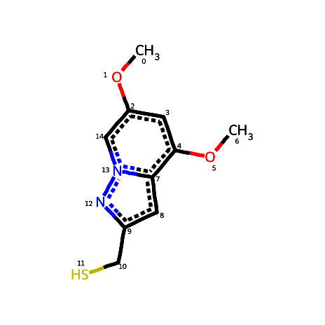 COc1cc(OC)c2cc(CS)nn2c1